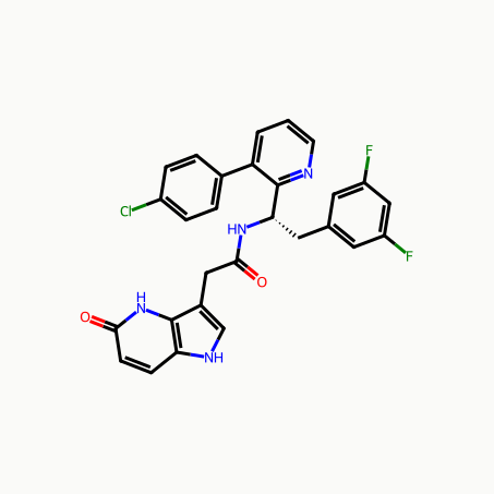 O=C(Cc1c[nH]c2ccc(=O)[nH]c12)N[C@@H](Cc1cc(F)cc(F)c1)c1ncccc1-c1ccc(Cl)cc1